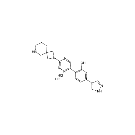 Cl.Cl.Oc1cc(-c2cn[nH]c2)ccc1-c1cnc(N2CC3(CCCNC3)C2)nn1